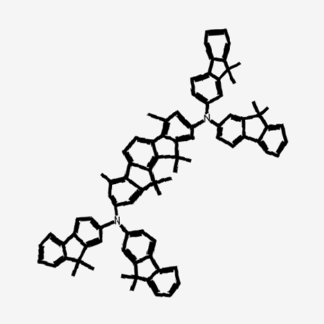 Cc1cc(N(c2ccc3c(c2)C(C)(C)c2ccccc2-3)c2ccc3c(c2)C(C)(C)c2ccccc2-3)cc2c1-c1ccc3c(c1C2(C)C)C(C)(C)c1cc(N(c2ccc4c(c2)C(C)(C)c2ccccc2-4)c2ccc4c(c2)C(C)(C)c2ccccc2-4)cc(C)c1-3